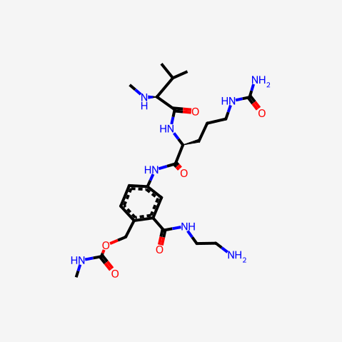 CNC(=O)OCc1ccc(NC(=O)[C@H](CCCNC(N)=O)NC(=O)[C@@H](NC)C(C)C)cc1C(=O)NCCN